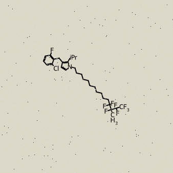 CC(C)c1c(Cc2c(F)cccc2Cl)ccn1CCCCCCCCCCCC(F)(F)[C@@](C)(F)C(F)(F)C(F)(F)F